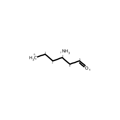 CCCCCC=O.N